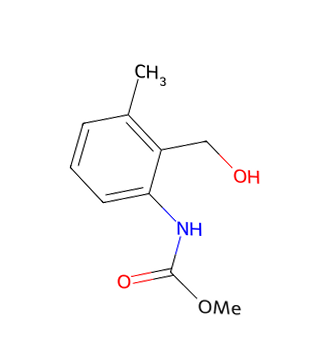 COC(=O)Nc1cccc(C)c1CO